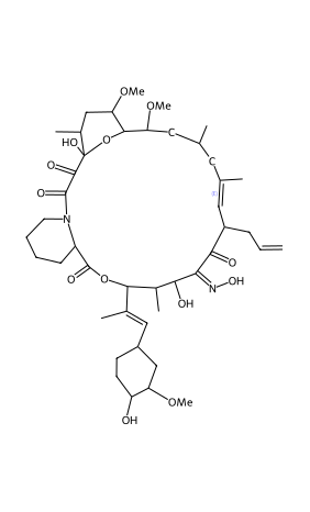 C=CCC1/C=C(\C)CC(C)CC(OC)C2OC(O)(C(=O)C(=O)N3CCCCC3C(=O)OC(C(C)=CC3CCC(O)C(OC)C3)C(C)C(O)C(=NO)C1=O)C(C)CC2OC